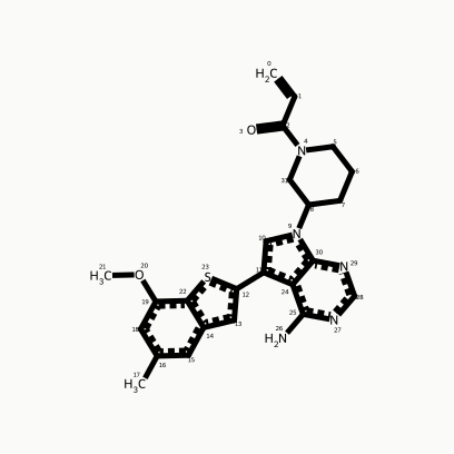 C=CC(=O)N1CCCC(n2cc(-c3cc4cc(C)cc(OC)c4s3)c3c(N)ncnc32)C1